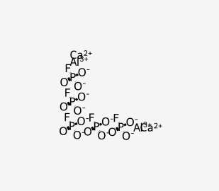 O=P([O-])([O-])F.O=P([O-])([O-])F.O=P([O-])([O-])F.O=P([O-])([O-])F.O=P([O-])([O-])F.[Al+3].[Al+3].[Ca+2].[Ca+2]